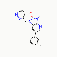 Cc1cccc(-c2cnc3c(c2)n(Cc2cccnn2)c(=O)n3C)c1